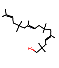 CC(C)=CCC(C)(C)C/C(C)=C/CC(C)(C)CC(C)=CCC(C)(C)CO